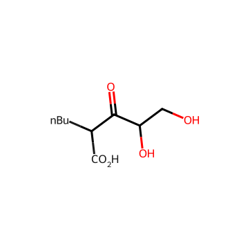 CCCCC(C(=O)O)C(=O)C(O)CO